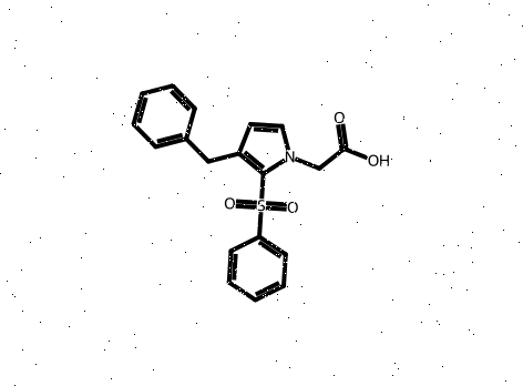 O=C(O)Cn1ccc(Cc2ccccc2)c1S(=O)(=O)c1ccccc1